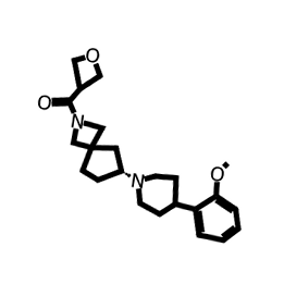 COc1ccccc1C1CCN([C@@H]2CCC3(C2)CN(C(=O)C2COC2)C3)CC1